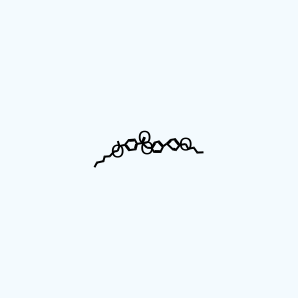 CCCCCCOC(C)c1ccc(C(=O)Oc2ccc(-c3ccc(OCCCC)cc3)cc2)cc1